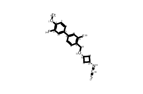 CCOc1ccc(-c2ccc(CO[C@H]3C[C@@H](N=C=S)C3)c(F)c2)cc1F